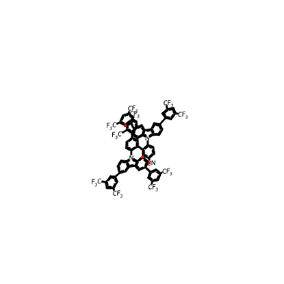 N#Cc1ccc(-n2c3ccc(-c4cc(C(F)(F)F)cc(C(F)(F)F)c4)cc3c3cc(-c4cc(C(F)(F)F)cc(C(F)(F)F)c4)ccc32)c(-c2cc(-c3ccc(C(F)(F)F)cc3C(F)(F)F)ccc2-n2c3ccc(-c4cc(C(F)(F)F)cc(C(F)(F)F)c4)cc3c3cc(-c4cc(C(F)(F)F)cc(C(F)(F)F)c4)ccc32)c1